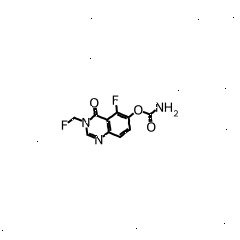 NC(=O)Oc1ccc2ncn(CF)c(=O)c2c1F